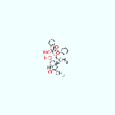 C=C1C[C@H]2[C@@H](/C(C)=C\CC(C)(O)C(Oc3ccccc3)Oc3ccccc3)[C@H](O)C[C@@H]2C1=O